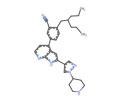 CCCC(CCC)Cc1ccc(-c2ccnc3[nH]c(-c4cnn(C5CCNCC5)c4)cc23)cc1C#N